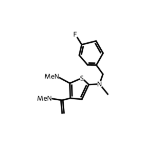 C=C(NC)c1cc(N(C)Cc2ccc(F)cc2)sc1NC